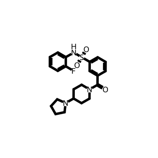 O=C(c1cccc(S(=O)(=O)Nc2ccccc2F)c1)N1CCC(N2CCCC2)CC1